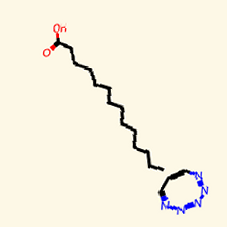 C1=CN=NN=NN=C1.CCCCCCCCCCCCCC(=O)O